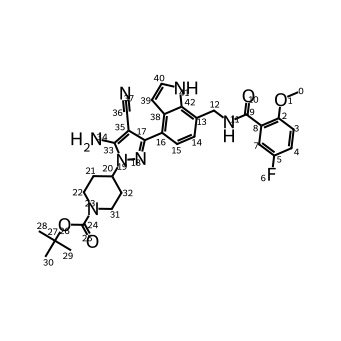 COc1ccc(F)cc1C(=O)NCc1ccc(-c2nn(C3CCN(C(=O)OC(C)(C)C)CC3)c(N)c2C#N)c2cc[nH]c12